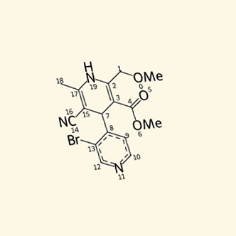 COCC1=C(C(=O)OC)C(c2ccncc2Br)C(C#N)=C(C)N1